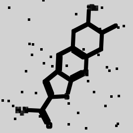 CC1Cc2nc3sc(C(N)=O)cc3cc2CC1C(C)(C)C